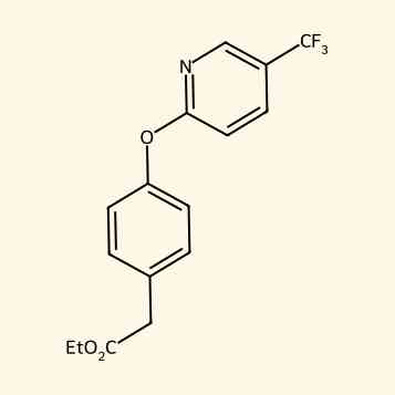 CCOC(=O)Cc1ccc(Oc2ccc(C(F)(F)F)cn2)cc1